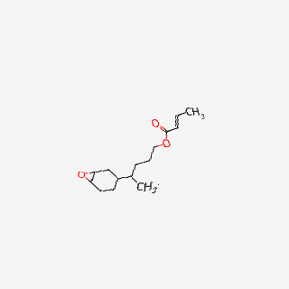 [CH2]C(CCCOC(=O)C=CC)C1CCC2OC2C1